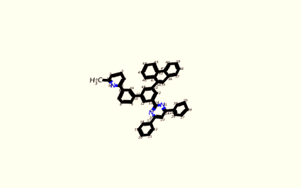 Cc1cccc(-c2cccc(-c3cc(-c4nc(-c5ccccc5)cc(-c5ccccc5)n4)cc(-c4cc5ccccc5c5ccccc45)c3)c2)n1